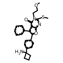 COCCn1c(SC)nc2oc(-c3ccc(C4(N)CCC4)cc3)c(-c3ccccc3)c2c1=O